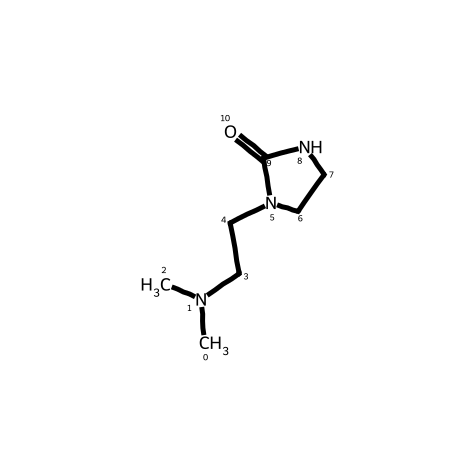 CN(C)CCN1CCNC1=O